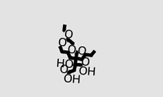 CCCCC(CCCC)(C(=O)OCC(=O)OCC)C(O)(CC(=O)O)C(=O)O